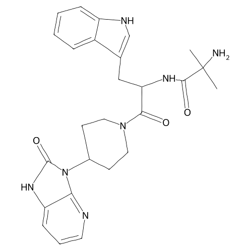 CC(C)(N)C(=O)NC(Cc1c[nH]c2ccccc12)C(=O)N1CCC(n2c(=O)[nH]c3cccnc32)CC1